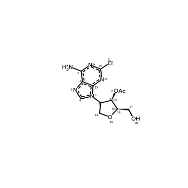 CC(=O)O[C@@H]1C(n2cnc3c(N)nc(Cl)nc32)CO[C@@H]1CO